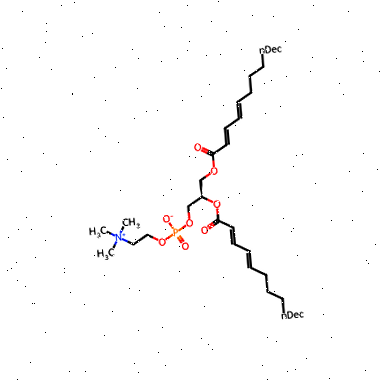 CCCCCCCCCCCCCC=CC=CC(=O)OC[C@H](COP(=O)([O-])OCC[N+](C)(C)C)OC(=O)C=CC=CCCCCCCCCCCCCC